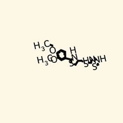 CCOc1ccc(C2NC(CSC3NNCS3)CS2)cc1OC